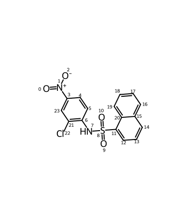 O=[N+]([O-])c1ccc(NS(=O)(=O)c2cccc3ccccc23)c(Cl)c1